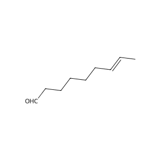 CC=CCCCCCC=O